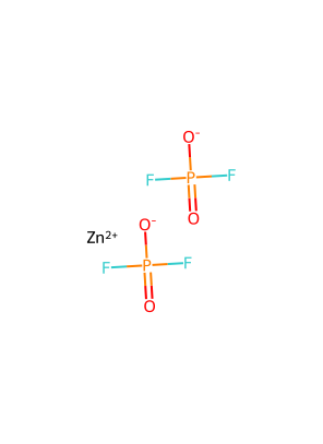 O=P([O-])(F)F.O=P([O-])(F)F.[Zn+2]